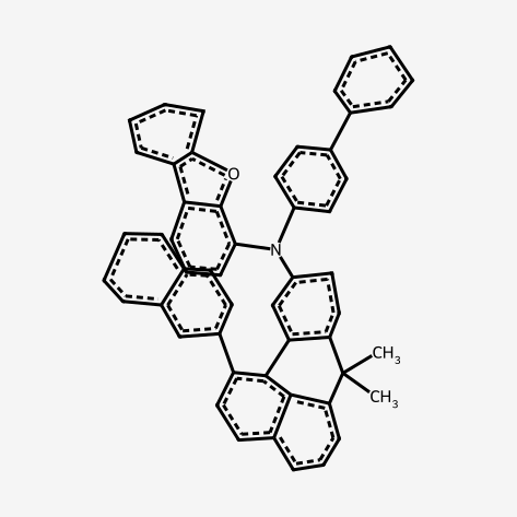 CC1(C)c2ccc(N(c3ccc(-c4ccccc4)cc3)c3cccc4c3oc3ccccc34)cc2-c2c(-c3ccc4ccccc4c3)ccc3cccc1c23